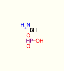 NBO[PH](=O)O